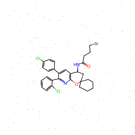 O=C(CCCBr)NC1CC2(CCCCC2)Oc2nc(-c3ccccc3Cl)c(-c3ccc(Cl)cc3)cc21